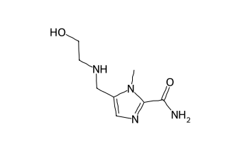 Cn1c(CNCCO)cnc1C(N)=O